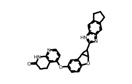 O=C1CCc2c(Oc3ccc4c(c3)C3C(O4)C3c3nc4cc5c(cc4[nH]3)CCC5)ccnc2N1